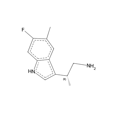 Cc1cc2c([C@@H](C)CN)c[nH]c2cc1F